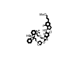 COC/C=C/c1cc(F)c2c(c1)CCC2Nc1nc2c(cc1Cl)nc(O[C@@H]1CO[C@H](CCC(C)(C)[Si](O)(c3ccccc3)c3ccccc3)C1)n2COCC[Si](C)(C)C